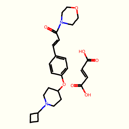 O=C(C=Cc1ccc(OC2CCN(C3CCC3)CC2)cc1)N1CCOCC1.O=C(O)C=CC(=O)O